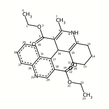 CCOC(=O)C1=C(C)NC2=C(C(=O)CCC2)C1c1c(C(=O)OCC)cnc2ccccc12